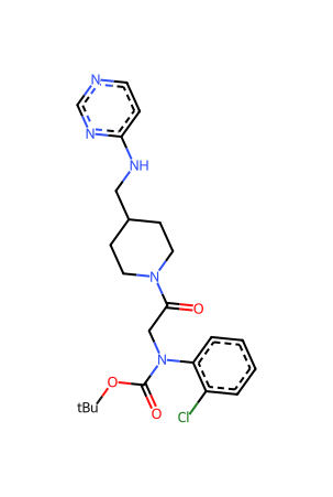 CC(C)(C)OC(=O)N(CC(=O)N1CCC(CNc2ccncn2)CC1)c1ccccc1Cl